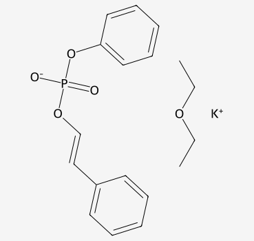 CCOCC.O=P([O-])(O/C=C/c1ccccc1)Oc1ccccc1.[K+]